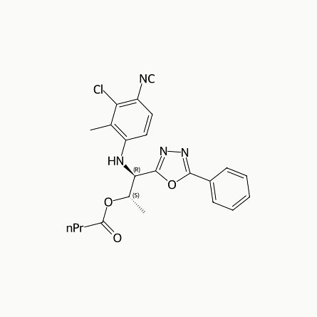 [C-]#[N+]c1ccc(N[C@@H](c2nnc(-c3ccccc3)o2)[C@H](C)OC(=O)CCC)c(C)c1Cl